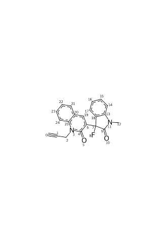 C#CCn1c(=O)c(C2(F)C(=O)N(C)c3ccccc32)cc2ccccc21